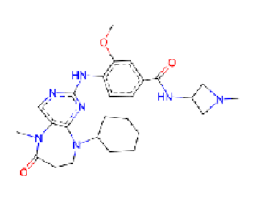 COc1cc(C(=O)NC2CN(C)C2)ccc1Nc1ncc2c(n1)N(C1CCCCC1)CCC(=O)N2C